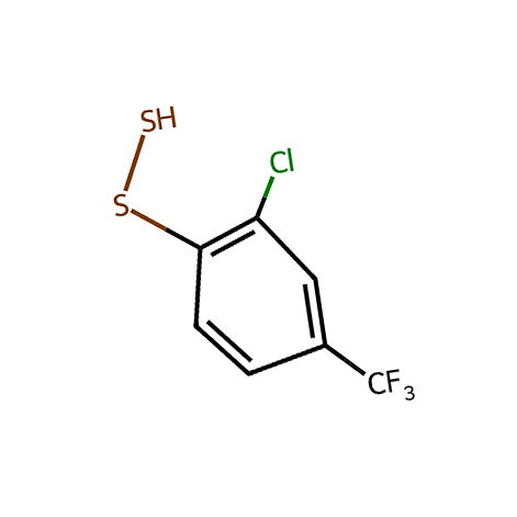 FC(F)(F)c1ccc(SS)c(Cl)c1